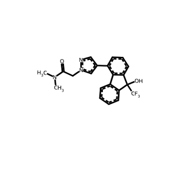 CN(C)C(=O)Cn1cc(-c2cccc3c2-c2ccccc2C3(O)C(F)(F)F)cn1